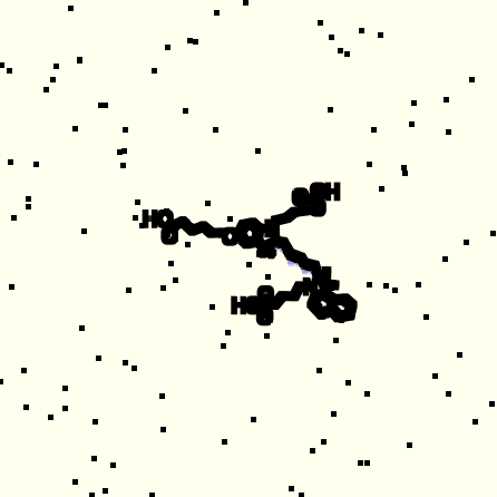 CC1(C)C(/C=C/C=C/C=C2/N(CCCCS(=O)(=O)O)c3ccc(OCCCCCC(=O)O)cc3C2(C)C)=[N+](CCCCS(=O)(=O)O)c2ccc3ccccc3c21